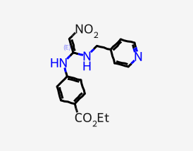 CCOC(=O)c1ccc(N/C(=C/[N+](=O)[O-])NCc2ccncc2)cc1